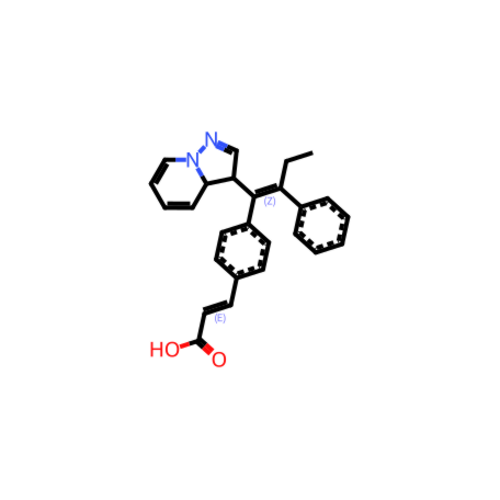 CC/C(=C(/c1ccc(/C=C/C(=O)O)cc1)C1C=NN2C=CC=CC12)c1ccccc1